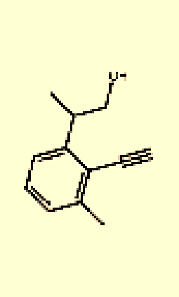 C#Cc1c(C)cccc1[C](C)CO